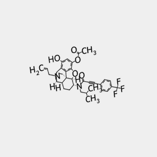 C=CCN1CC[C@]23c4c5c(O)cc(OC(C)=O)c4O[C@H]2[C@H](N(CC(C)C)C(=O)C#Cc2ccc(C(F)(F)F)cc2)CC[C@H]3[C@H]1C5